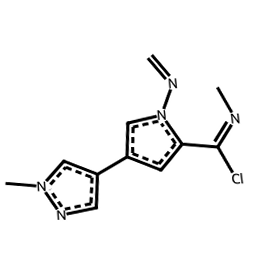 C=Nn1cc(-c2cnn(C)c2)cc1/C(Cl)=N\C